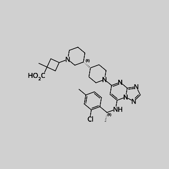 Cc1ccc([C@@H](C)Nc2cc(N3CCC([C@H]4CCCN(C5CC(C)(C(=O)O)C5)C4)CC3)nc3ncnn23)c(Cl)c1